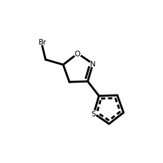 BrCC1CC(c2cccs2)=NO1